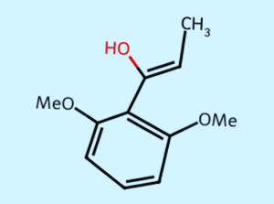 CC=C(O)c1c(OC)cccc1OC